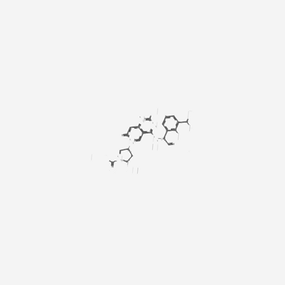 C=C[C@@H](Nc1nc(C)nc2cc(=O)n([C@H]3C[C@H](C)N(C(C)=O)C3)cc12)c1cccc(C(F)F)c1F